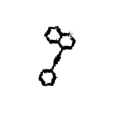 C(#Cc1ccnc2ccccc12)c1cc[c]cc1